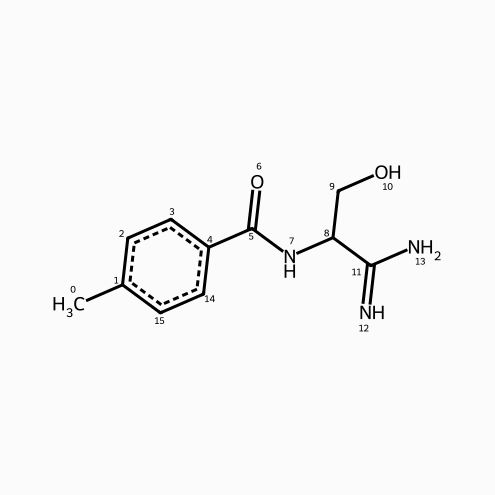 Cc1ccc(C(=O)NC(CO)C(=N)N)cc1